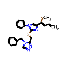 C=C/C=C(\SC)c1cn(-c2ccccc2)c(SCc2nncn2Cc2ccccc2)n1